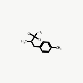 Cc1ccc(CC(C)C(C)(Cl)Cl)cc1